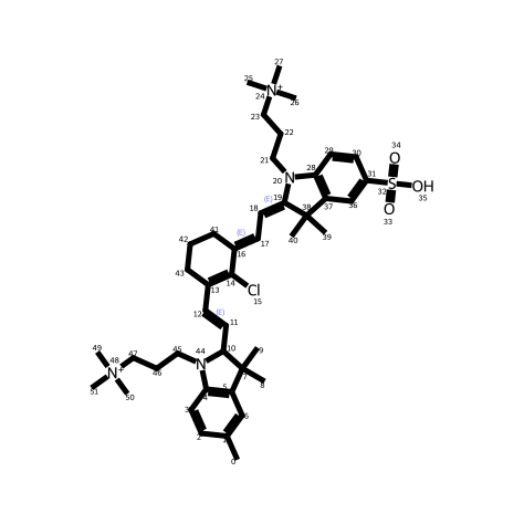 Cc1ccc2c(c1)C(C)(C)C(/C=C/C1=C(Cl)C(=C/C=C3/N(CCC[N+](C)(C)C)c4ccc(S(=O)(=O)O)cc4C3(C)C)/CCC1)N2CCC[N+](C)(C)C